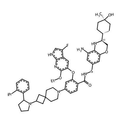 CCOc1nc2[nH]cc(F)c2cc1Oc1cc(N2CCC3(CC2)CC(N2CCCC2c2ccccc2C(C)C)C3)ccc1C(=O)NSc1cc(N)c2c(c1)OC[C@H]([C@H]1CC[C@](C)(O)CC1)N2